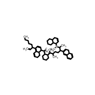 C=CC(CCCCC)C1=C2C=CCCC2C(C(C)C2CCCCC2C(C)C(C)CCC(C2=CCC3C=CC=CC3=C2)C(C)N(C)C2C=CCC3CCCCC32)C=C1